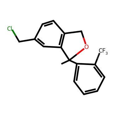 CC1(c2ccccc2C(F)(F)F)OCc2ccc(CCl)cc21